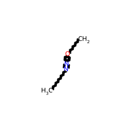 C=CCCCCCCCOc1ccc(N2CCN(CCCCCCCCCCCC)CC2)cc1